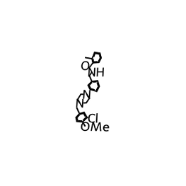 COc1ccc(CN2CCN(c3cccc(CNC(=O)c4ccccc4C)c3)CC2)cc1Cl